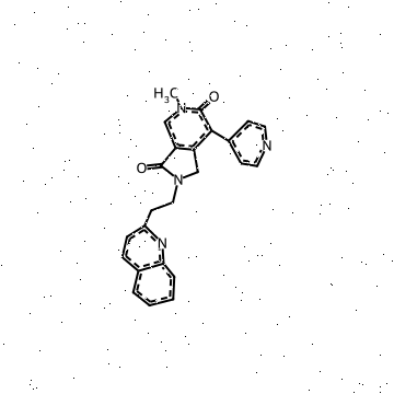 Cn1cc2c(c(-c3ccncc3)c1=O)CN(CCc1ccc3ccccc3n1)C2=O